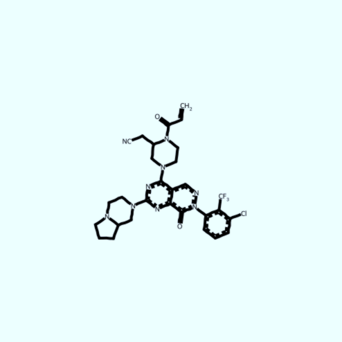 C=CC(=O)N1CCN(c2nc(N3CCN4CCCC4C3)nc3c(=O)n(-c4cccc(Cl)c4C(F)(F)F)ncc23)CC1CC#N